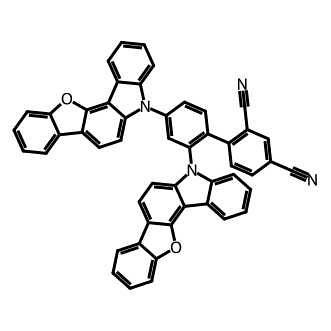 N#Cc1ccc(-c2ccc(-n3c4ccccc4c4c5oc6ccccc6c5ccc43)cc2-n2c3ccccc3c3c4oc5ccccc5c4ccc32)c(C#N)c1